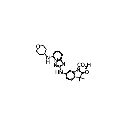 CC1(C)C(=O)N(C(=O)O)c2cc(Nc3nc4cccc(NC5CCOCC5)n4n3)ccc21